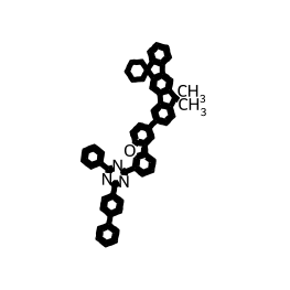 CC1(C)c2ccc(-c3ccc4oc5c(-c6nc(-c7ccccc7)nc(-c7ccc(-c8ccccc8)cc7)n6)cccc5c4c3)cc2-c2cc3c(cc21)-c1ccccc1C31CCCCC1